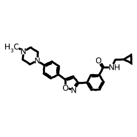 CN1CCN(c2ccc(-c3cc(-c4cccc(C(=O)NCC5CC5)c4)no3)cc2)CC1